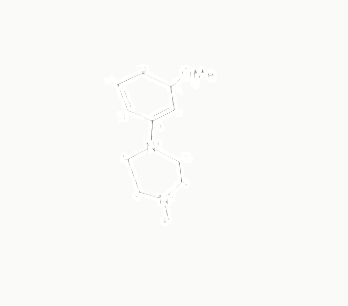 COC1C=C(N2CCN(C)CC2)C=CC1